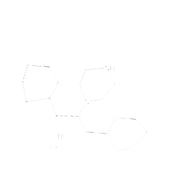 C1CCC(CC(CC2CCCCC2)N2CCNCC2)CC1.Cl.Cl